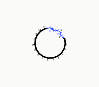 C1CCCCCCC/N=N/N=N/CCCCCCC1